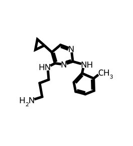 Cc1ccccc1Nc1ncc(C2CC2)c(NCCCN)n1